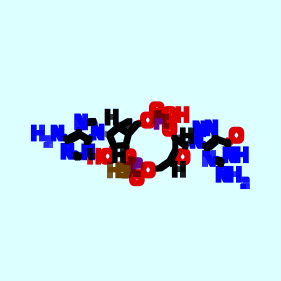 Nc1nc2c(nnn2[C@@H]2O[C@@H]3CO[P@@](=O)(S)O[C@H]4[C@@H](O)[C@H](n5cnc6c(N)ncnc65)[C@H]5C[C@]54COP(=O)(O)O[C@@H]2C3)c(=O)[nH]1